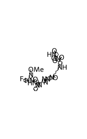 COCCN1C[C@@H](NC(=O)Nc2c(C)c(-c3cnc(N4CCN(C(=O)CCCCCNc5ccc6c(c5)C(=O)N(C5CCC(=O)NC5=O)C6=O)CC4)nc3)nn2-c2ccccc2)[C@H](c2cccc(F)c2)C1